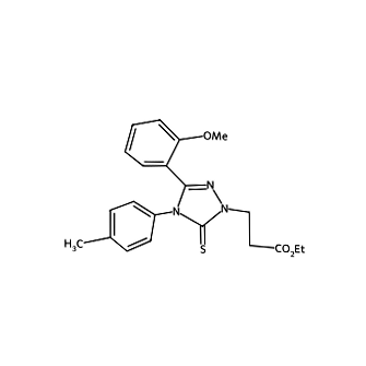 CCOC(=O)CCn1nc(-c2ccccc2OC)n(-c2ccc(C)cc2)c1=S